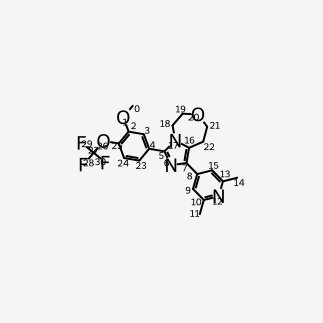 COc1cc(-c2nc(-c3cc(C)nc(C)c3)c3n2CCOCC3)ccc1OC(F)(F)F